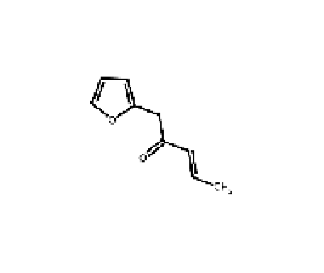 C/C=C/C(=O)Cc1ccco1